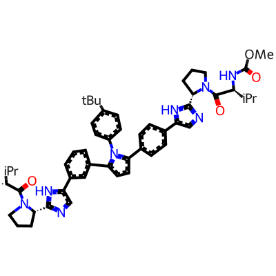 COC(=O)N[C@H](C(=O)N1CCC[C@H]1c1ncc(-c2ccc(-c3ccc(-c4cccc(-c5cnc([C@@H]6CCCN6C(=O)[CH]C(C)C)[nH]5)c4)n3-c3ccc(C(C)(C)C)cc3)cc2)[nH]1)C(C)C